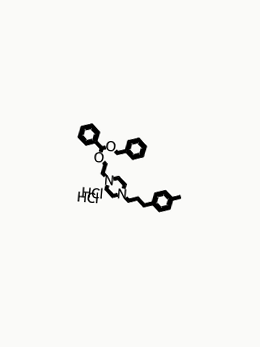 Cc1ccc(CCCN2CCN(CCOC(OCc3ccccc3)c3ccccc3)CC2)cc1.Cl.Cl